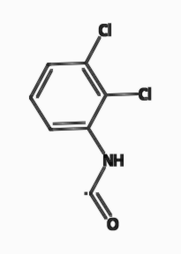 O=[C]Nc1cccc(Cl)c1Cl